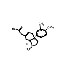 COc1ccc([C@@]23CC=C(OC(=O)C(C)(C)C)C[C@@H]2N(C)CC3)cc1C